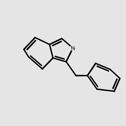 C1=c2ccccc2=C(Cc2ccccc2)[N]1